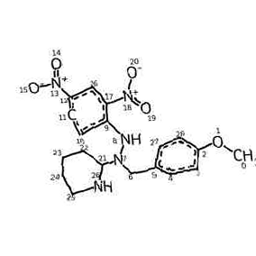 COc1ccc(CN(Nc2ccc([N+](=O)[O-])cc2[N+](=O)[O-])C2CCCCN2)cc1